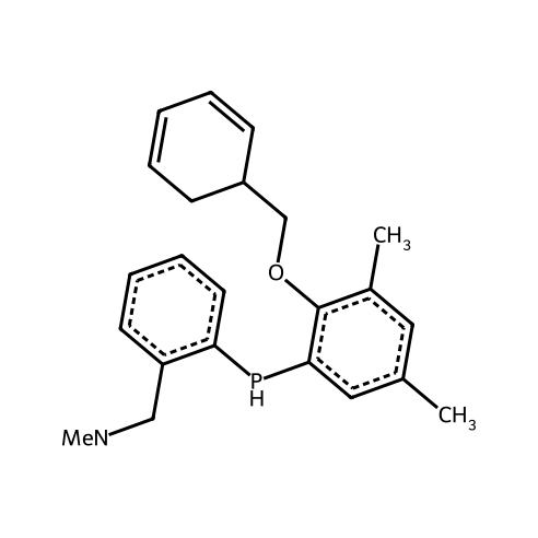 CNCc1ccccc1Pc1cc(C)cc(C)c1OCC1C=CC=CC1